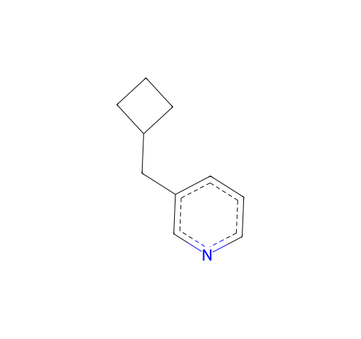 c1cncc(CC2CCC2)c1